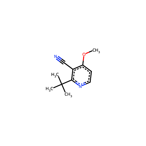 COc1ccnc(C(C)(C)C)c1C#N